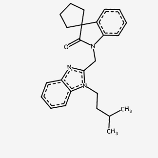 CC(C)CCn1c(CN2C(=O)C3(CCCC3)c3ccccc32)nc2ccccc21